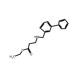 CCOC(=O)CCNCc1cccc(-c2ccccc2)c1